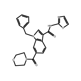 O=C(Nc1nccs1)c1cn(Cc2ccccc2)c2cc(C(=O)N3CCOCC3)ccc12